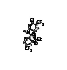 CCS(=O)(=O)c1cc(C(F)(F)F)cnc1-c1nc2cc(C(F)(F)F)c(Cl)nc2n1C